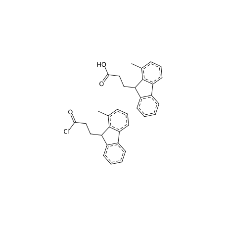 Cc1cccc2c1C(CCC(=O)Cl)c1ccccc1-2.Cc1cccc2c1C(CCC(=O)O)c1ccccc1-2